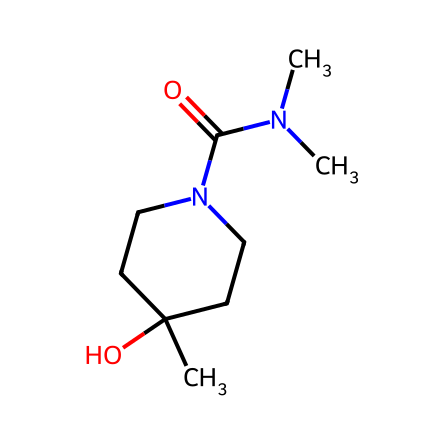 CN(C)C(=O)N1CCC(C)(O)CC1